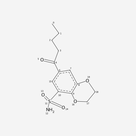 CCCCC(=O)c1cc2c(c(S(N)(=O)=O)c1)OCCO2